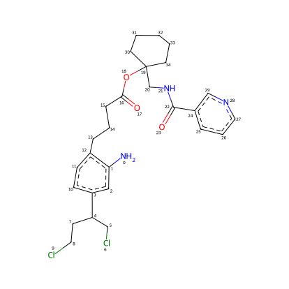 Nc1cc(C(CCl)CCCl)ccc1CCCC(=O)OC1(CNC(=O)c2cccnc2)CCCCC1